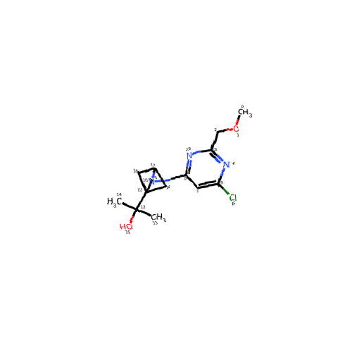 COCc1nc(Cl)cc(N2CC3(C(C)(C)O)CC2C3)n1